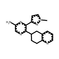 Cn1ccc(-c2nc(N)cnc2C2CCc3ncccc3C2)n1